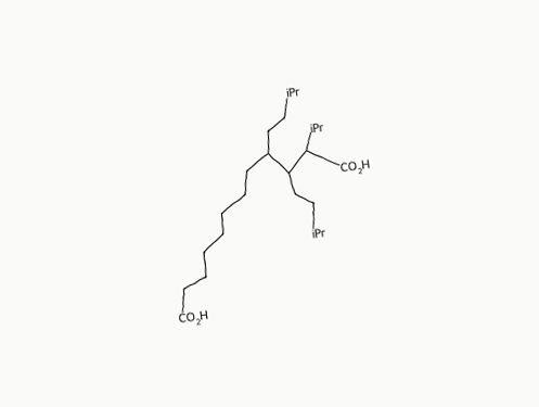 CC(C)CCC(CCCCCCCC(=O)O)C(CCC(C)C)C(C(=O)O)C(C)C